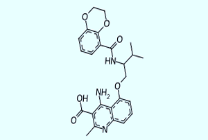 Cc1nc2cccc(OCC(NC(=O)c3cccc4c3OCCO4)C(C)C)c2c(N)c1C(=O)O